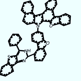 c1ccc(C2=c3sc4ccccc4c3=NC(c3cccc4oc5cc(-n6c7ccc8ccccc8c7c7c8ccccc8c8c9ccccc9oc8c76)ccc5c34)N2)cc1